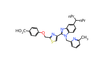 CCCC(CCC)c1ccc2c(c1)nc(-c1csc(COc3ccc(C(=O)O)cc3)n1)n2Cc1cccc(C)n1